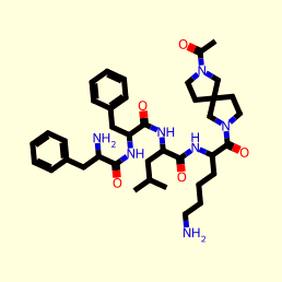 CC(=O)N1CCC2(CCN(C(=O)C(CCCCN)NC(=O)C(CC(C)C)NC(=O)C(Cc3ccccc3)NC(=O)C(N)Cc3ccccc3)C2)C1